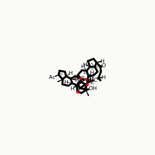 CC(=O)[C@H]1CC[C@H]2[C@@H]3CC[C@]4(C[C@H]5C[C@@H](C)CC(=O)[C@H]6CC[C@H]7[C@@H]8CC[C@@H]9C[C@@]5(C)CC[C@@H]9[C@H]8CC[C@]67C)C[C@](C)(O)CC[C@@H]4[C@H]3CC[C@]12C